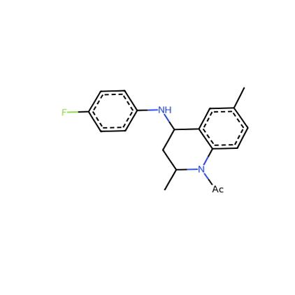 CC(=O)N1c2ccc(C)cc2C(Nc2ccc(F)cc2)CC1C